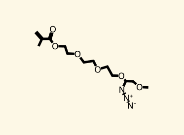 C=C(C)C(=O)OCCOCCOCCOC(COC)N=[N+]=[N-]